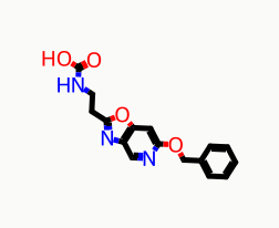 O=C(O)NCCc1nc2cnc(OCc3ccccc3)cc2o1